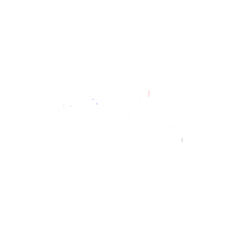 CNCC(O)C(=O)[O-].[Li+]